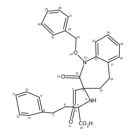 O=C=CC1(NC(CCc2ccccc2)C(=O)O)CCc2ccccc2N(OCc2ccccc2)C1=O